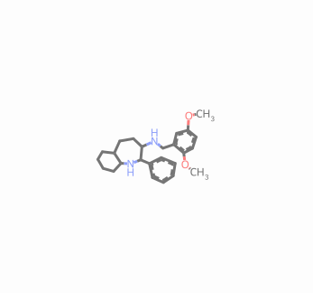 COc1ccc(OC)c(CNC2CCC3CCCCC3NC2c2ccccc2)c1